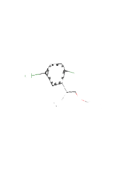 N#CC(COC=O)c1cc(Cl)ccc1Cl